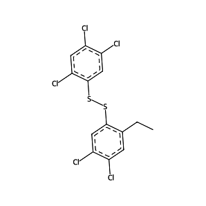 CCc1cc(Cl)c(Cl)cc1SSc1cc(Cl)c(Cl)cc1Cl